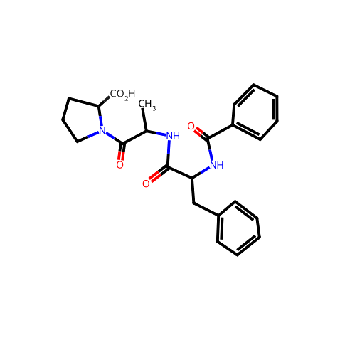 CC(NC(=O)C(Cc1ccccc1)NC(=O)c1ccccc1)C(=O)N1CCCC1C(=O)O